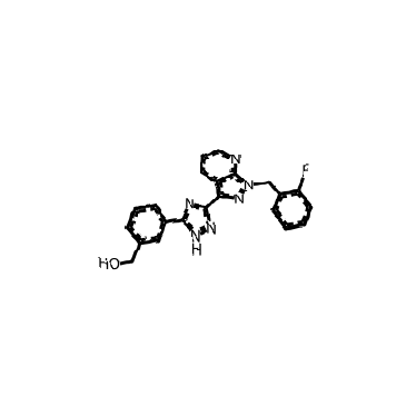 OCc1cccc(-c2nc(-c3nn(Cc4ccccc4F)c4ncccc34)n[nH]2)c1